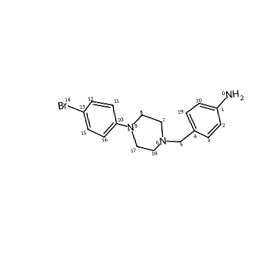 Nc1ccc(CN2CCN(c3ccc(Br)cc3)CC2)cc1